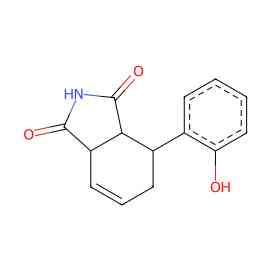 O=C1NC(=O)C2C1C=CCC2c1ccccc1O